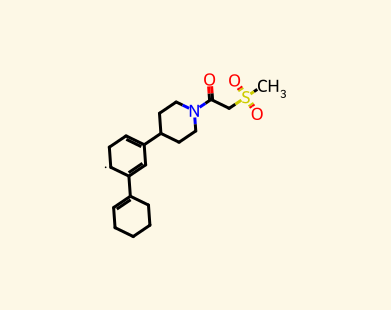 CS(=O)(=O)CC(=O)N1CCC(C2=CC[CH]C(C3=CCCCC3)=C2)CC1